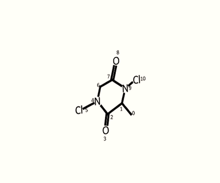 CC1C(=O)N(Cl)CC(=O)N1Cl